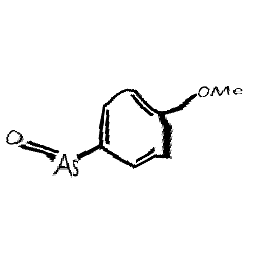 COc1ccc([As]=O)cc1